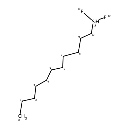 CCCCCCCCCCC[SiH](F)F